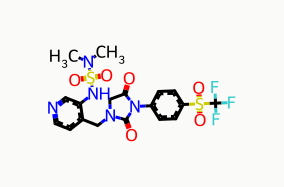 CN(C)S(=O)(=O)Nc1cnccc1CN1CC(=O)N(c2ccc(S(=O)(=O)C(F)(F)F)cc2)C1=O